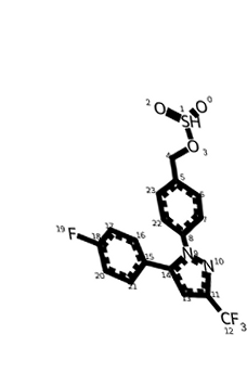 O=[SH](=O)OCc1ccc(-n2nc(C(F)(F)F)cc2-c2ccc(F)cc2)cc1